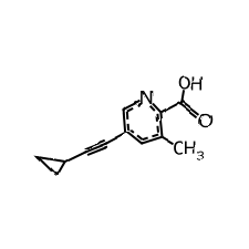 Cc1cc(C#CC2CC2)cnc1C(=O)O